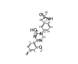 COc1cc(F)ccc1C1=NCN(c2cccc(CS(C)(=N)=O)c2)C(O)=N1